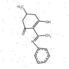 C/C(=N\c1ccccc1)C1=C(O)CC(C)CC1=O